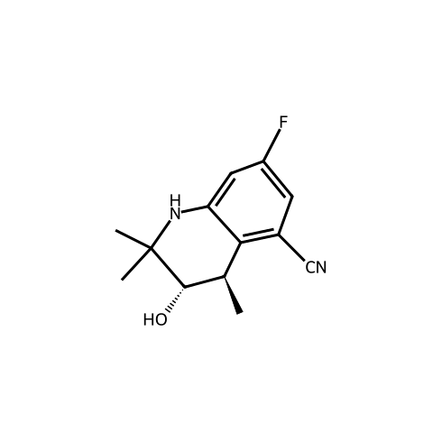 C[C@@H]1c2c(C#N)cc(F)cc2NC(C)(C)[C@H]1O